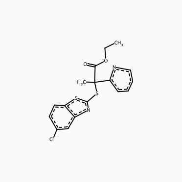 CCOC(=O)C(C)(Sc1nc2cc(Cl)ccc2s1)c1ccccn1